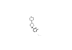 CCCCOc1ccc(C2(C)CCC(C3CCC(CCC)CC3)CC2)c(F)c1F